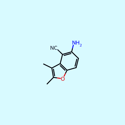 Cc1oc2ccc(N)c(C#N)c2c1C